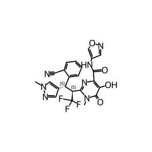 Cn1cc([C@H](c2ccccc2C#N)[C@@H](c2nc(C(=O)Nc3cnoc3)c(O)c(=O)n2C)C(F)(F)F)cn1